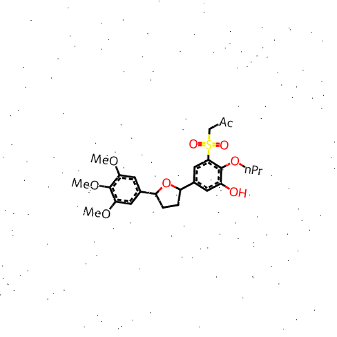 CCCOc1c(O)cc(C2CCC(c3cc(OC)c(OC)c(OC)c3)O2)cc1S(=O)(=O)CC(C)=O